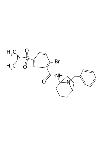 CN(C)S(=O)(=O)c1ccc(Br)c(C(=O)NC23CCCC(CC2)N3Cc2ccccc2)c1